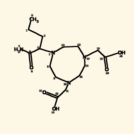 CCCC(C(N)=O)N1CCN(CC(=O)O)CCN(CC(=O)O)CC1